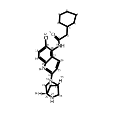 O=C(CC1CCCCC1)Nc1c(Cl)ccc2nc(N3C[C@@H]4C[C@H]3CN4)ccc12